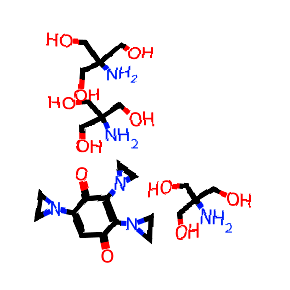 NC(CO)(CO)CO.NC(CO)(CO)CO.NC(CO)(CO)CO.O=C1C=C(N2CC2)C(=O)C(N2CC2)=C1N1CC1